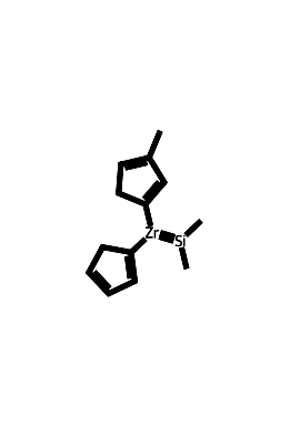 CC1=CC[C]([Zr]([C]2=CC=CC2)=[Si](C)C)=C1